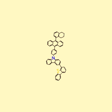 c1cc2c(c(-c3c4ccccc4c(-c4ccc(-n5c6ccccc6c6cc(-c7cccc8c7sc7ccccc78)ccc65)cc4)c4ccccc34)c1)CCCC2